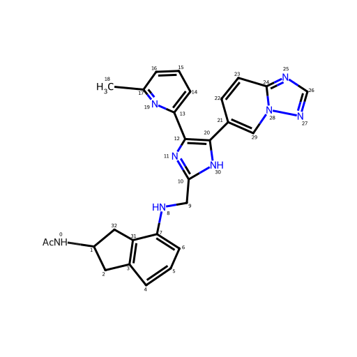 CC(=O)NC1Cc2cccc(NCc3nc(-c4cccc(C)n4)c(-c4ccc5ncnn5c4)[nH]3)c2C1